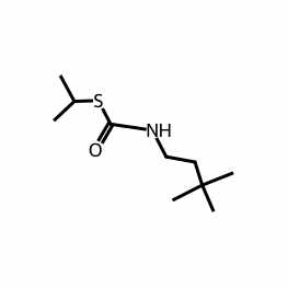 CC(C)SC(=O)NCCC(C)(C)C